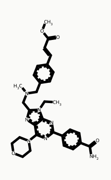 CCn1c(CN(C)Cc2ccc(/C=C/C(=O)OC)cc2)nc2c(N3CCOCC3)nc(-c3ccc(C(N)=O)cc3)nc21